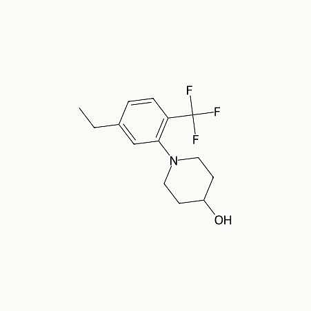 CCc1ccc(C(F)(F)F)c(N2CCC(O)CC2)c1